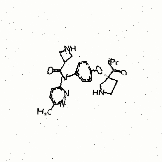 Cc1ccc(N(C(=O)C2CNC2)c2ccc(O[C@]3(C(=O)C(C)C)CCNC3)cc2)nn1